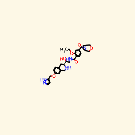 CCOc1cc(C(=O)N2C3CCC2COC3)ccc1C(=O)NCC(O)[C@@H]1Cc2ccc(OCc3ccn[nH]3)cc2CN1